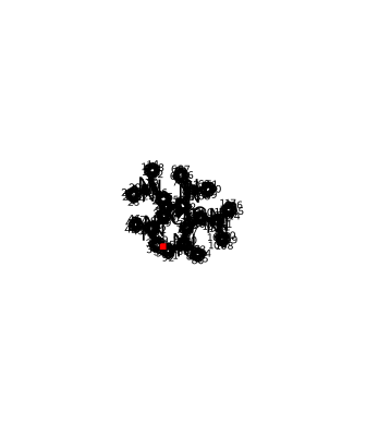 N#Cc1c(-n2c3ccc(-c4nc(-c5ccccc5)nc(-c5ccccc5)n4)cc3c3cc(-c4nc(-c5ccccc5)nc(-c5ccccc5)n4)ccc32)cc(-c2nc(-c3ccccc3)nc(-c3ccccc3)n2)cc1-n1c2ccc(-c3nc(-c4ccccc4)nc(-c4ccccc4)n3)cc2c2cc(-c3nc(-c4ccccc4)nc(-c4ccccc4)n3)ccc21